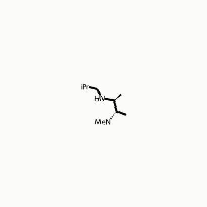 CN[C@@H](C)[C@H](C)NCC(C)C